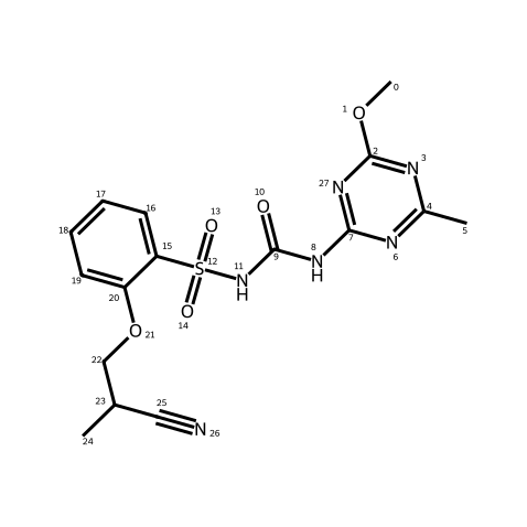 COc1nc(C)nc(NC(=O)NS(=O)(=O)c2ccccc2OCC(C)C#N)n1